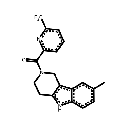 Cc1ccc2[nH]c3c(c2c1)CN(C(=O)c1cccc(C(F)(F)F)n1)CC3